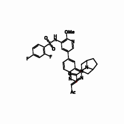 COc1ncc(-c2ccc3ncnc(N4C5CCC4CN(C(=O)/C=C/C(C)=O)C5)c3c2)cc1NS(=O)(=O)c1ccc(F)cc1F